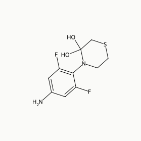 Nc1cc(F)c(N2CCSCC2(O)O)c(F)c1